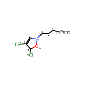 CCCCCCCCN1C=C(Cl)C(Cl)O1